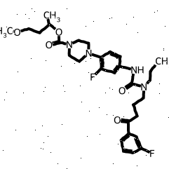 CCCN(CCCC(=O)c1cccc(F)c1)C(=O)Nc1ccc(N2CCN(C(=O)OC(C)CCOC)CC2)c(F)c1